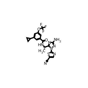 C[C@H](NC(=O)c1cc(OC(F)(F)F)cc(C2CC2)c1)c1nc(N)nn1-c1ncc(C#N)s1